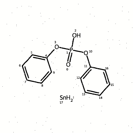 O=P(O)(Oc1ccccc1)Oc1ccccc1.[SnH2]